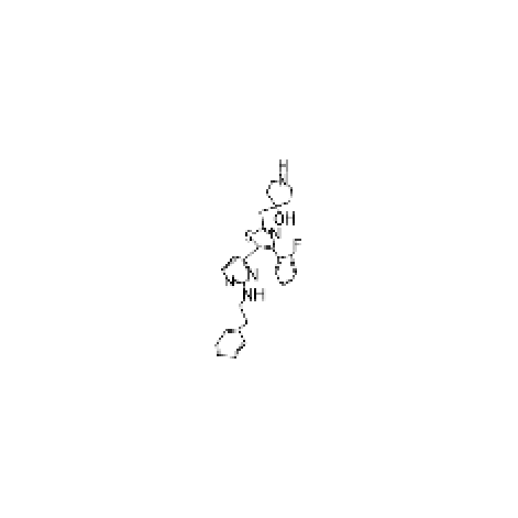 OC1(Cc2nc(-c3ccccc3F)c(-c3ccnc(NCCc4ccccc4)n3)s2)CCNCC1